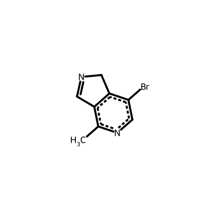 Cc1ncc(Br)c2c1C=NC2